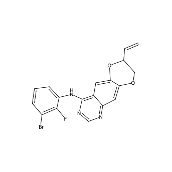 C=CC1COc2cc3ncnc(Nc4cccc(Br)c4F)c3cc2O1